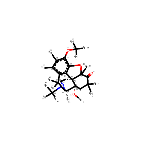 [2H]O[C@@]12CC([2H])([2H])C(=O)C3([2H])Oc4c(OC([2H])([2H])[2H])c([2H])c([2H])c5c4[C@@]31CCN(C([2H])([2H])[2H])[C@]2([2H])C5([2H])[2H]